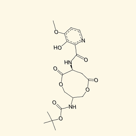 COc1ccnc(C(=O)N[C@H]2CC(=O)OCC(NC(=O)OC(C)(C)C)COC2=O)c1O